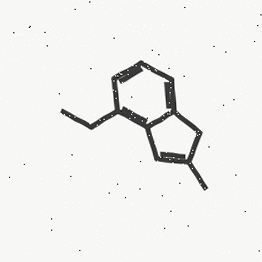 CCc1cccc2c1C=C(C)C2